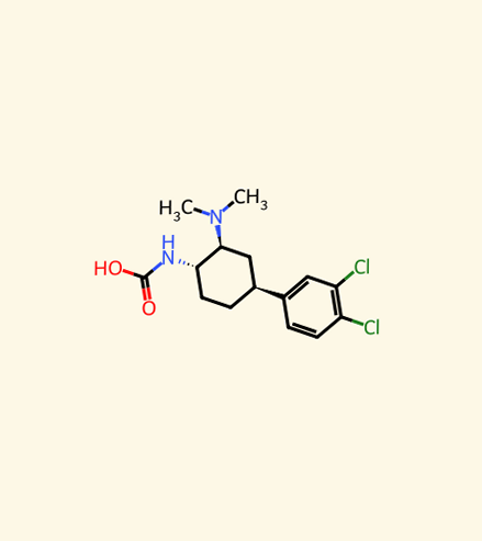 CN(C)[C@H]1C[C@@H](c2ccc(Cl)c(Cl)c2)CC[C@@H]1NC(=O)O